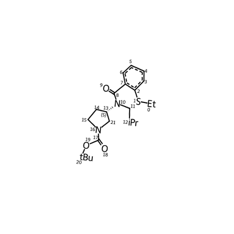 CCSc1ccccc1C(=O)N(CC(C)C)[C@H]1CCN(C(=O)OC(C)(C)C)C1